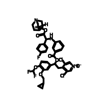 O=C(OC(Cc1c(Cl)c[n+]([O-])cc1Cl)c1ccc(OC(F)F)c(OCC2CC2)c1)c1cccc(NC(C(=O)O[C@H]2CN3CCC2CC3)c2ccc(F)cc2)c1